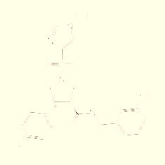 Cn1cnc(S(=O)(=O)N2C[C@@H](C(=O)NCc3cccc(Cl)c3)[C@H](c3ccc(F)cc3)C2)c1